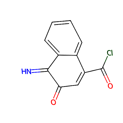 N=C1C(=O)C=C(C(=O)Cl)c2ccccc21